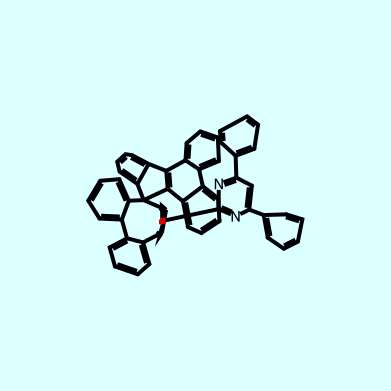 c1ccc(-c2cc(-c3ccccc3)nc(-c3ccc4c(c3)C3(c5ccccc5-c5ccccc5-4)c4ccccc4-c4c3c3ccccc3c3ccccc43)n2)cc1